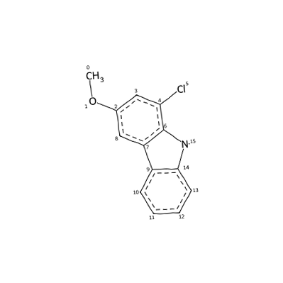 COc1cc(Cl)c2c(c1)-c1ccccc1[N]2